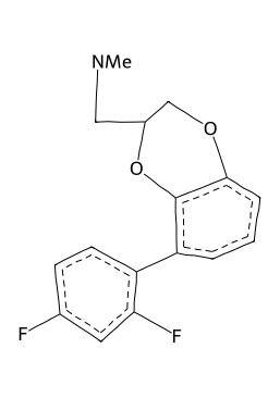 CNCC1COc2cccc(-c3ccc(F)cc3F)c2O1